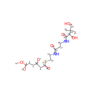 COC(=O)CCC(=O)CC(=O)SCCNC(=O)CCNC(=O)C(O)C(C)(C)CO